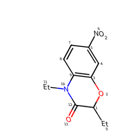 CCC1Oc2cc([N+](=O)[O-])ccc2N(CC)C1=O